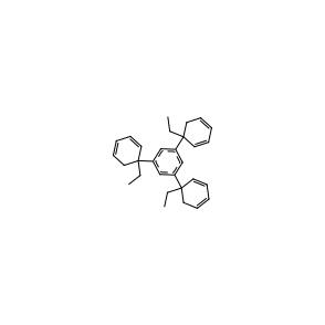 CCC1(c2cc(C3(CC)C=CC=CC3)cc(C3(CC)C=CC=CC3)c2)C=CC=CC1